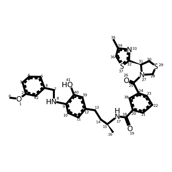 COc1cccc(CNc2ccc(CC[C@H](C)NC(=O)c3cccc(C(=O)N4CSC[C@@H]4c4nc(C)cs4)c3)cc2O)c1